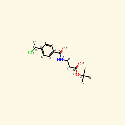 C[C@@H](Cl)c1ccc(C(=O)NCCC(=O)OC(C)(C)C)cc1